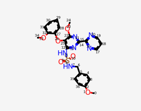 COc1ccc(CNS(=O)(=O)Nc2nc(-c3ncccn3)nc(OC)c2Oc2ccccc2OC)cc1